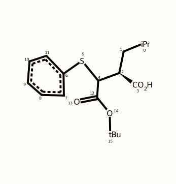 CC(C)C[C@@H](C(=O)O)C(Sc1ccccc1)C(=O)OC(C)(C)C